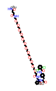 CCCCNC(=O)CCC(=O)NCCOCCOCCOCCOCCOCCOCCOCCOCCOCCOCCOCCOCCC(=O)NCCC1(C(=O)N[C@@H](Cc2ccc(NC(=O)c3c(Cl)cccc3Cl)cc2)C(=O)OC)CCCC1